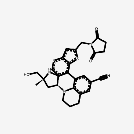 C[C@]1(CO)C[C@H](N2CCCc3cc(C#N)cc(-c4ccnc5cc(CN6C(=O)CCC6=O)sc45)c32)CN1